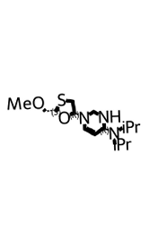 COC[C@H]1O[C@@H](N2C=C[C@@H](N(C(C)C)C(C)C)NC2)CS1